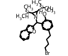 COc1ccc(CCCCBr)cc1C(c1cc2ccccc2o1)N1C([SiH](C)C)C1[SiH](C)C